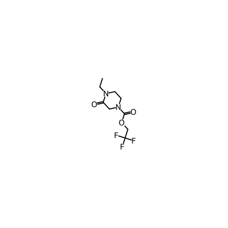 CCN1CCN(C(=O)OCC(F)(F)F)CC1=O